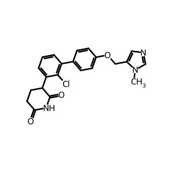 Cn1cncc1COc1ccc(-c2cccc(C3CCC(=O)NC3=O)c2Cl)cc1